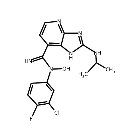 CC(C)Nc1nc2nccc(C(=N)N(O)c3ccc(F)c(Cl)c3)c2[nH]1